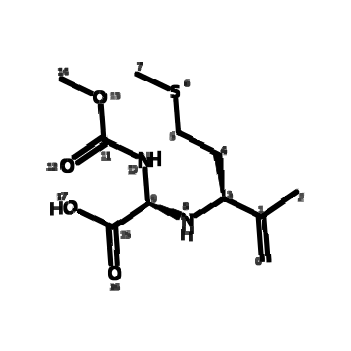 C=C(C)[C@H](CCSC)N[C@H](NC(=O)OC)C(=O)O